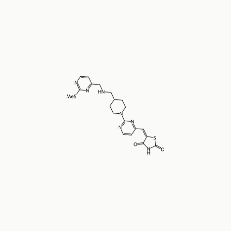 CSc1nccc(CNCC2CCN(c3nccc(/C=C4/SC(=O)NC4=O)n3)CC2)n1